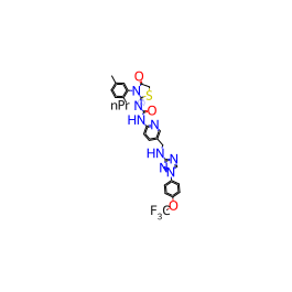 CCCc1ccc(C)cc1N1C(=O)CS/C1=N\C(=O)Nc1ccc(CNc2ncn(-c3ccc(OC(F)(F)F)cc3)n2)cn1